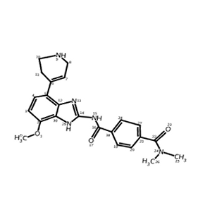 COc1ccc(C2=CCNCC2)c2nc(NC(=O)c3ccc(C(=O)N(C)C)cc3)[nH]c12